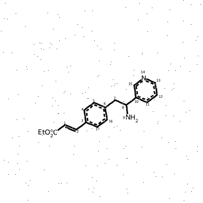 CCOC(=O)C=Cc1ccc(CC(N)c2cccnc2)cc1